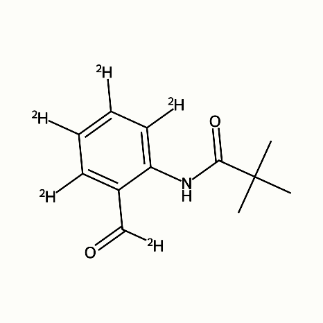 [2H]C(=O)c1c([2H])c([2H])c([2H])c([2H])c1NC(=O)C(C)(C)C